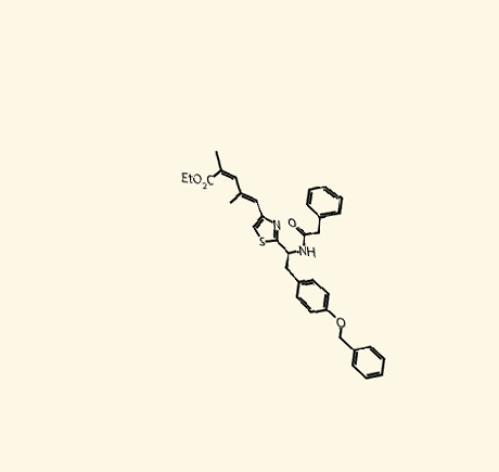 CCOC(=O)/C(C)=C\C(C)=C\c1csc([C@H](Cc2ccc(OCc3ccccc3)cc2)NC(=O)Cc2ccccc2)n1